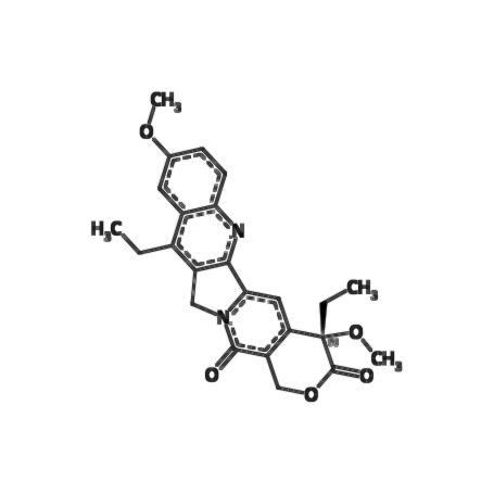 CCc1c2c(nc3ccc(OC)cc13)-c1cc3c(c(=O)n1C2)COC(=O)[C@@]3(CC)OC